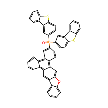 O=P(c1ccc2sc3ccccc3c2c1)(c1ccc2sc3ccccc3c2c1)c1ccc2c(c1)c1ccccc1c1cc3c(cc21)oc1ccccc13